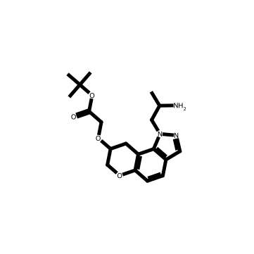 CC(N)Cn1ncc2ccc3c(c21)CC(OCC(=O)OC(C)(C)C)CO3